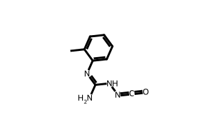 Cc1ccccc1N=C(N)NN=C=O